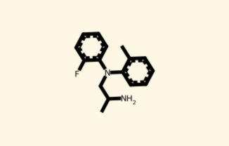 Cc1ccccc1N(CC(C)N)c1ccccc1F